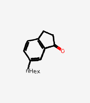 CCCCCCc1ccc2c(c1)C(=O)CC2